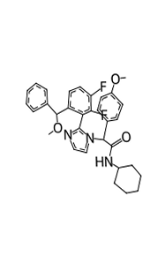 COc1ccc(C(C(=O)NC2CCCCC2)n2ccnc2-c2c(C(OC)c3ccccc3)ccc(F)c2F)cc1